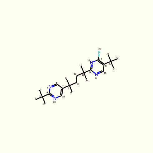 CC(C)(C)c1ncc(C(C)(C)CCC(C)(C)c2ncc(C(C)(C)C)c(F)n2)cn1